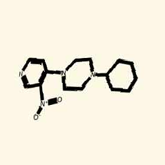 O=[N+]([O-])c1cnccc1N1CCN(C2CCCCC2)CC1